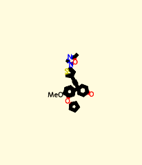 COc1ccc(C2(C#Cc3csc(N4CN=C(C)O4)c3)CCC(=O)CC2)cc1OC1CCCC1